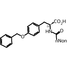 CCCCCCCCCC(=O)N[C@@H](Cc1ccc(OCc2ccccc2)cc1)C(=O)O